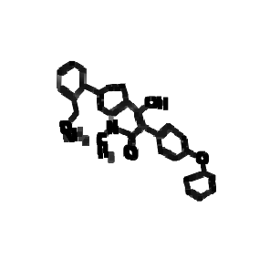 Cn1c(=O)c(-c2ccc(Oc3ccccc3)cc2)c(O)c2ccc(-c3ccccc3CON)cc21